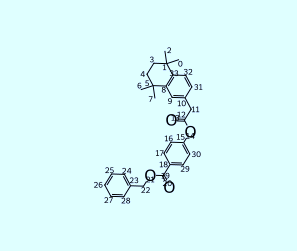 CC1(C)CCC(C)(C)c2cc(CC(=O)Oc3ccc(C(=O)OCc4ccccc4)cc3)ccc21